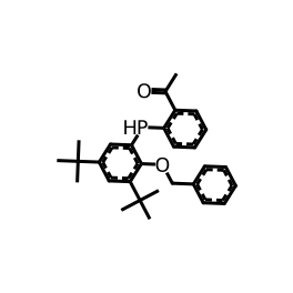 CC(=O)c1ccccc1Pc1cc(C(C)(C)C)cc(C(C)(C)C)c1OCc1ccccc1